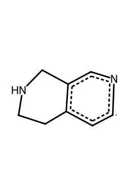 [c]1cc2c(cn1)CNCC2